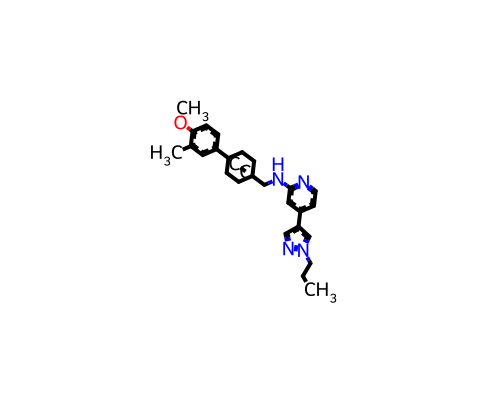 CCCn1cc(-c2ccnc(NCC34CCC(c5ccc(OC)c(C)c5)(CC3)CC4)c2)cn1